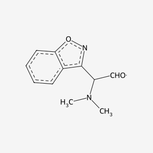 CN(C)C([C]=O)c1noc2ccccc12